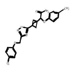 Cc1ccc(OC(C(N)=O)C23CC(c4nc(COc5ccc(Cl)cc5)no4)(C2)C3)cc1